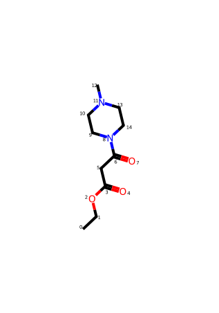 CCOC(=O)CC(=O)N1CCN(C)CC1